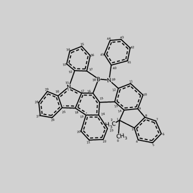 CC1(C)c2ccccc2-c2ccc3c(c21)-c1c2c4c(c5ccccc15)c1ccccc1n4-c1ccccc1B2N3c1ccccc1